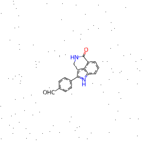 O=Cc1ccc(-c2[nH]c3cccc4c3c2CNC4=O)cc1